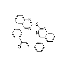 O=C(C=Cc1ccccc1)c1ccccc1.c1ccc2nc(Sc3ncc4ccccc4n3)ncc2c1